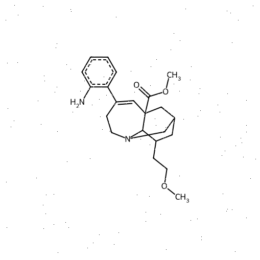 COCCC1CC2CN3CCC(c4ccccc4N)=CC(C(=O)OC)(C2)C13